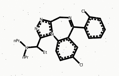 CCCN(CCC)C(CC)c1nnc2n1-c1ccc(Cl)cc1C(c1ccccc1Cl)=NC2